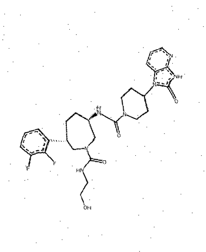 O=C(NCCO)N1C[C@H](NC(=O)N2CCC(n3c(=O)[nH]c4ncccc43)CC2)CC[C@@H](c2cccc(F)c2F)C1